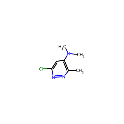 Cc1nnc(Cl)cc1N(C)C